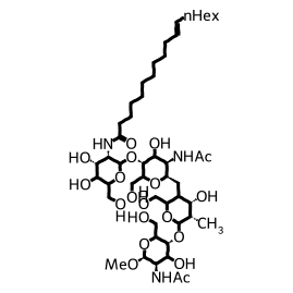 CCCCCCC=CCCCCCCCCCC(=O)N[C@@H]1C(O[C@H]2C(CO)O[C@H](CC3C(CO)OC(O[C@H]4C(CO)O[C@H](OC)[C@H](NC(C)=O)C4O)[C@@H](C)[C@H]3O)[C@H](NC(C)=O)C2O)OC(CO)C(O)[C@@H]1O